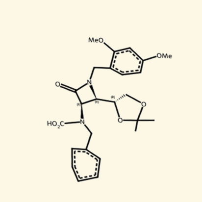 COc1ccc(CN2C(=O)[C@H](N(Cc3ccccc3)C(=O)O)[C@@H]2[C@@H]2COC(C)(C)O2)c(OC)c1